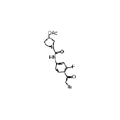 CC(=O)OC1CCN(C(=O)Nc2ccc(C(=O)CBr)c(F)c2)C1